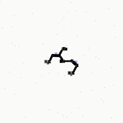 C/C=C(\N/N=N\N)C(C)(C)C